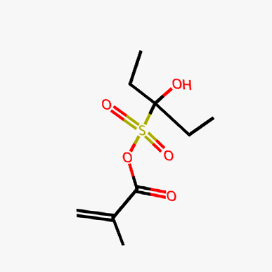 C=C(C)C(=O)OS(=O)(=O)C(O)(CC)CC